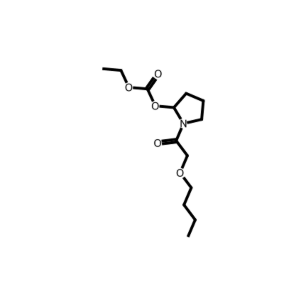 CCCCOCC(=O)N1CCCC1OC(=O)OCC